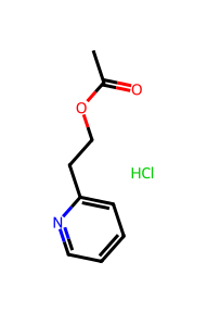 CC(=O)OCCc1ccccn1.Cl